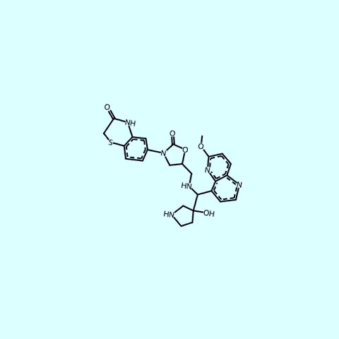 COc1ccc2nccc(C(NCC3CN(c4ccc5c(c4)NC(=O)CS5)C(=O)O3)C3(O)CCNC3)c2n1